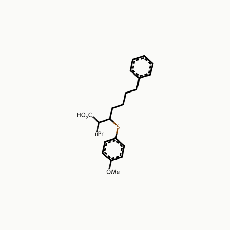 CCCC(C(=O)O)C(CCCCc1ccccc1)Sc1ccc(OC)cc1